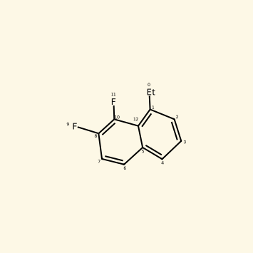 CCc1cccc2ccc(F)c(F)c12